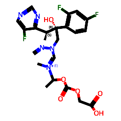 C=NN(/C=[N+](\C)C(C)OC(=O)OCC(=O)O)C[C@](O)(c1ccc(F)cc1F)[C@@H](C)c1ncncc1F